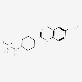 CCS(=O)(=O)N[C@H]1CC[C@H](C(=O)Nc2ccc(OC)cc2C)CC1